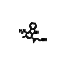 Cc1cc(N(C)CCO)c2[nH]c3ccccc3c2c1N